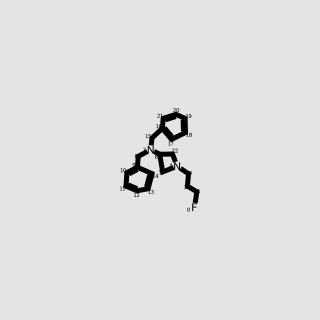 FCCCN1CC(N(Cc2ccccc2)Cc2ccccc2)C1